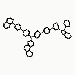 c1ccc(-c2c(-c3cccc(-c4ccc(-c5ccc(N(c6ccc(-c7ccc(-c8cccc9ccccc89)cc7)cc6)c6ccc7c(ccc8ccccc87)c6)cc5)cc4)c3)oc3ccccc23)cc1